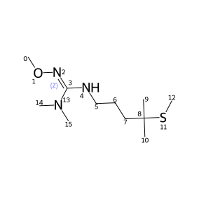 CO/N=C(/NCCCC(C)(C)SC)N(C)C